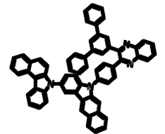 c1ccc(-c2cc(-c3ccccc3)cc(-c3nc4ccccc4nc3-c3ccc(-n4c5ccc(-n6c7ccccc7c7c8ccccc8ccc76)cc5c5cc6ccccc6cc54)cc3)c2)cc1